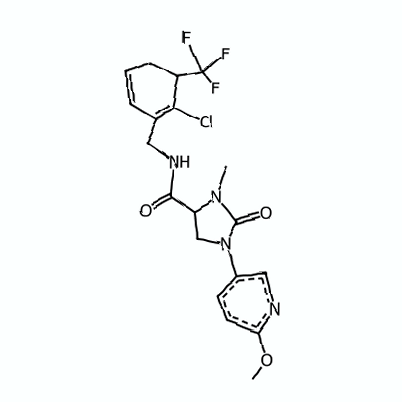 COc1ccc(N2CC(C(=O)NCC3=C(Cl)C(C(F)(F)F)CC=C3)N(C)C2=O)cn1